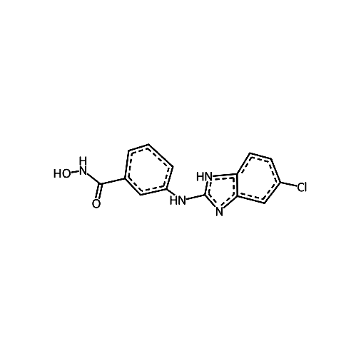 O=C(NO)c1cccc(Nc2nc3cc(Cl)ccc3[nH]2)c1